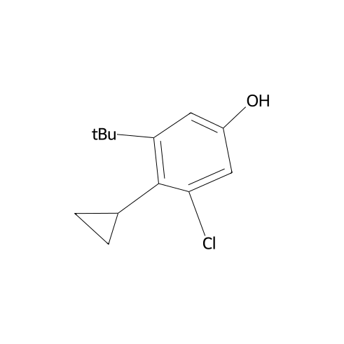 CC(C)(C)c1cc(O)cc(Cl)c1C1CC1